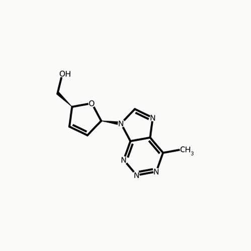 Cc1nnnc2c1ncn2[C@H]1C=C[C@@H](CO)O1